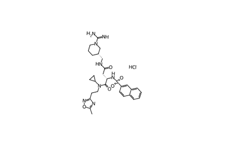 Cc1nc(CCN(C(=O)[C@H](CC(=O)NC[C@@H]2CCCN(C(=N)N)C2)NS(=O)(=O)c2ccc3ccccc3c2)C2CC2)no1.Cl